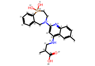 Cc1ccc2nc(N3CCS(O)(O)c4ccccc4C3)cc(NCC(C)C(=O)O)c2c1